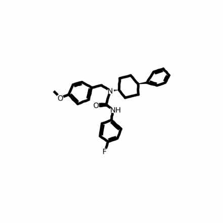 COc1ccc(CN(C(=O)Nc2ccc(F)cc2)[C@H]2CC[C@H](c3ccccc3)CC2)cc1